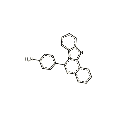 Nc1ccc(-c2nc3ccccc3c3nc4ccccc4n23)cc1